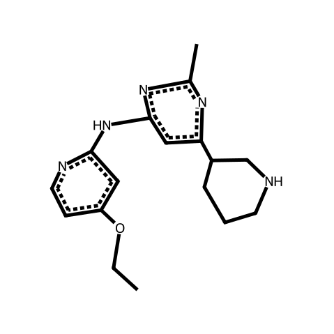 CCOc1ccnc(Nc2cc(C3CCCNC3)nc(C)n2)c1